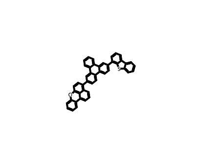 c1ccc2c(c1)Oc1ccc(-c3ccc4c5ccc(-c6cccc7c6sc6ccccc67)cc5c5ccccc5c4c3)c3cccc-2c13